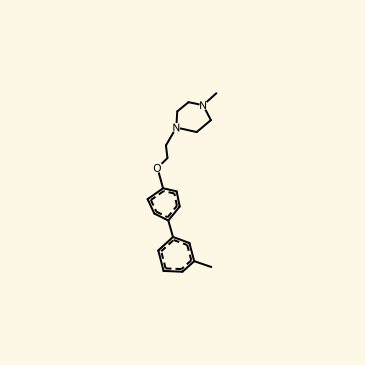 Cc1cccc(-c2ccc(OCCN3CCN(C)CC3)cc2)c1